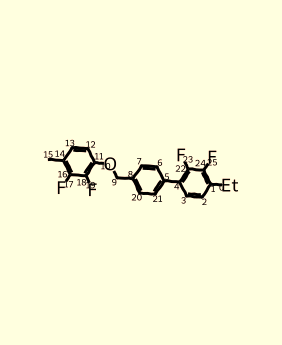 CCc1ccc(-c2ccc(COc3ccc(C)c(F)c3F)cc2)c(F)c1F